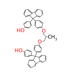 CC(COc1ccc(C2(c3ccc(O)cc3)c3ccccc3-c3ccccc32)cc1)COc1ccc(C2(c3ccc(O)cc3)c3ccccc3-c3ccccc32)cc1